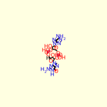 Nc1nc2c(ncn2[C@@H]2O[C@@H]3COP(=O)(O)OC4C(COP(=O)(O)OC2C3O)O[C@@H](n2cnc3c(N)ncnc32)C4O)c(=O)[nH]1